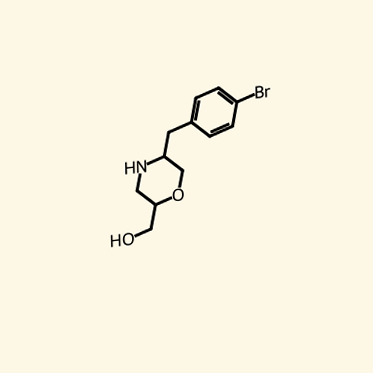 OCC1CNC(Cc2ccc(Br)cc2)CO1